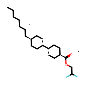 CCCCCCC[C@H]1CC[C@H]([C@H]2CC[C@H](C(=O)OCC(F)F)CC2)CC1